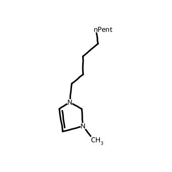 CCCCCCCCCN1C=CN(C)C1